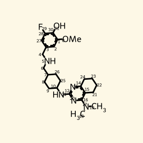 COc1cc(CNCC2CCC(Nc3nc4c(c(N(C)C)n3)CCCC4)CC2)cc(F)c1O